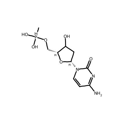 C[PH](O)(O)OC[C@H]1O[C@@H](n2ccc(N)nc2=O)CC1O